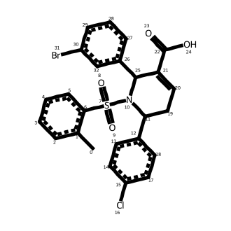 Cc1ccccc1S(=O)(=O)N1C(c2ccc(Cl)cc2)CC=C(C(=O)O)C1c1cccc(Br)c1